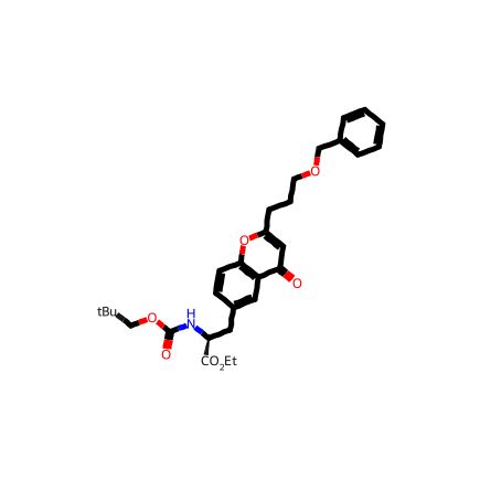 CCOC(=O)[C@H](Cc1ccc2oc(CCCOCc3ccccc3)cc(=O)c2c1)NC(=O)OCC(C)(C)C